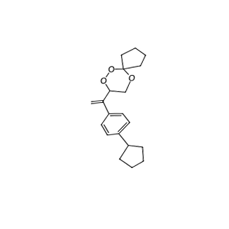 C=C(c1ccc(C2CCCC2)cc1)C1COC2(CCCC2)OO1